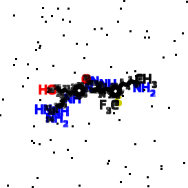 C[C@H](N)CCCc1cc(SC(F)(F)F)cc(-c2cc3cn(-c4ccc([C@H](CCCO)NCCCNC(=N)N)cc4)c(=O)nc3[nH]2)c1